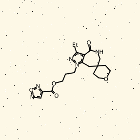 CCc1nn(CCCOC(=O)c2cnon2)c2c1C(=O)NCC1(CCOCC1)C2